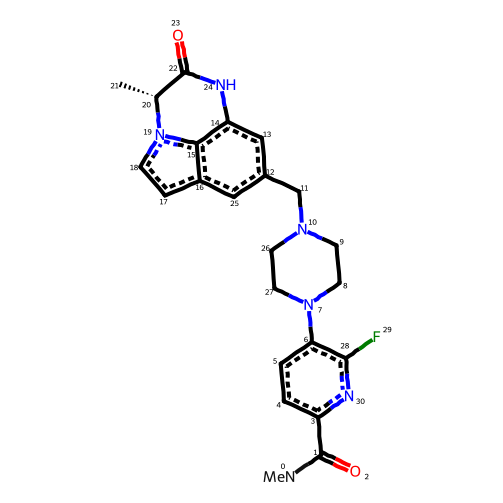 CNC(=O)c1ccc(N2CCN(Cc3cc4c5c(ccn5[C@H](C)C(=O)N4)c3)CC2)c(F)n1